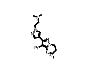 CC(C)c1c(-c2cnn(CCN(C)C)c2)nn2c1O[C@H](C)CC2